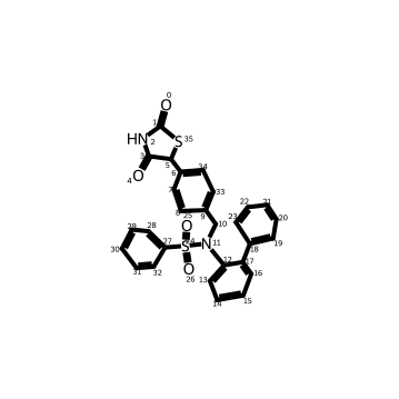 O=C1NC(=O)C(c2ccc(CN(c3ccccc3-c3ccccc3)S(=O)(=O)c3ccccc3)cc2)S1